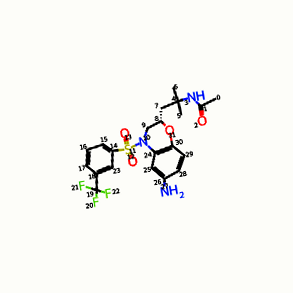 CC(=O)NC(C)(C)C[C@H]1CN(S(=O)(=O)c2cccc(C(F)(F)F)c2)c2cc(N)ccc2O1